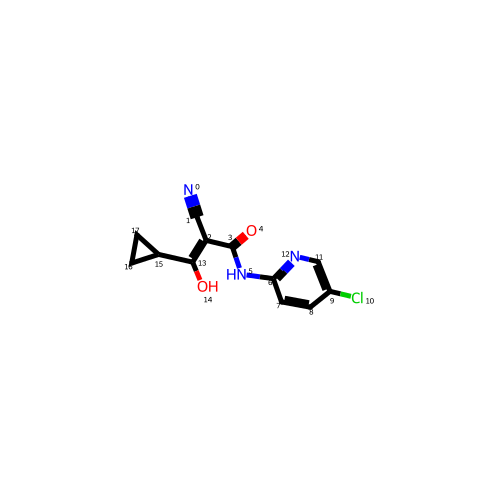 N#CC(C(=O)Nc1ccc(Cl)cn1)=C(O)C1CC1